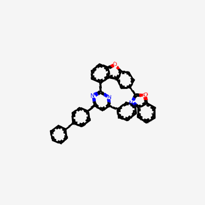 c1ccc(-c2ccc(-c3cc(-c4ccccc4)nc(-c4cccc5oc6ccc(-c7nc8ccccc8o7)cc6c45)n3)cc2)cc1